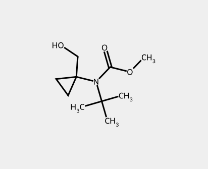 COC(=O)N(C(C)(C)C)C1(CO)CC1